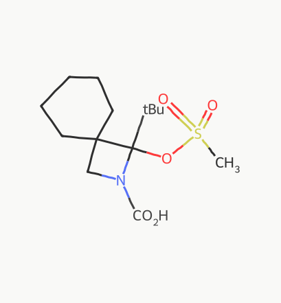 CC(C)(C)C1(OS(C)(=O)=O)N(C(=O)O)CC12CCCCC2